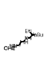 CCCCC(CC)CNCCCNC=O